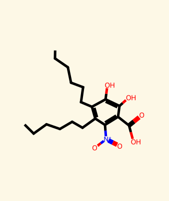 CCCCCCc1c(O)c(O)c(C(=O)O)c([N+](=O)[O-])c1CCCCCC